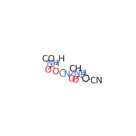 CC(NC(=O)c1ccc(C#N)cc1)C(=O)N1CCC(OCC(=O)NCC(=O)O)CC1